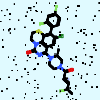 CC(F)/C=C/C(=O)N1CCN(c2nc(=O)n3c4c(c(-c5ccc(F)cc5F)c(Cl)cc24)SCC3)[C@@H](C)C1